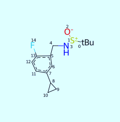 CC(C)(C)[S+]([O-])NCc1cc(C2CC2)ccc1F